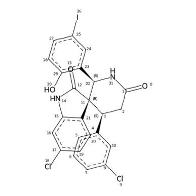 O=C1C[C@@H](c2cccc(Cl)c2)[C@]2(C(=O)Nc3cc(Cl)ccc32)[C@@H](c2cc(I)ccc2O)N1